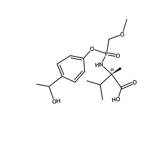 COCP(=O)(N[C@](C)(C(=O)O)C(C)C)Oc1ccc(C(C)O)cc1